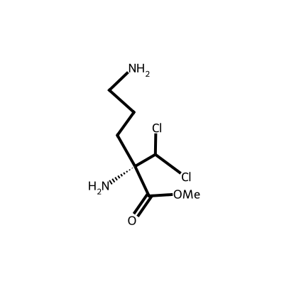 COC(=O)[C@@](N)(CCCN)C(Cl)Cl